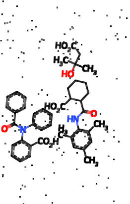 CC(C)(O)CC(=O)O.Cc1cc(C)c(NC(=O)C2CCCCC2C(=O)O)c(C)c1.O=C(O)c1ccccc1N(C(=O)c1ccccc1)c1ccccc1